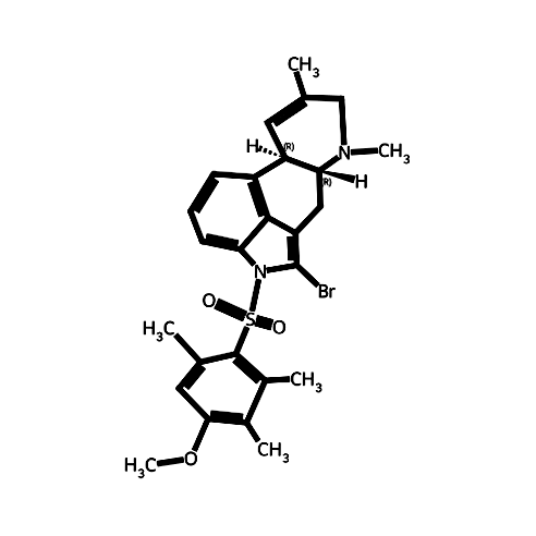 COc1cc(C)c(S(=O)(=O)n2c(Br)c3c4c(cccc42)[C@H]2C=C(C)CN(C)[C@@H]2C3)c(C)c1C